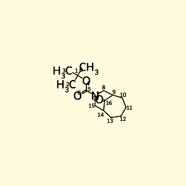 CC(C)(C)OC(=O)N1CC2CCCCC(C1)C2=O